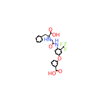 O=C(CN[C@@H](Cc1ccccc1)C(=O)O)Nc1ccc(Oc2cccc(C(=O)O)c2)cc1C(F)(F)F